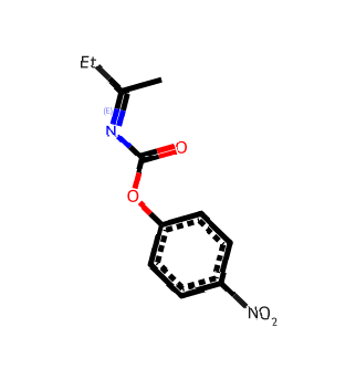 CC/C(C)=N/C(=O)Oc1ccc([N+](=O)[O-])cc1